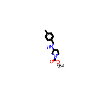 Cc1ccc(CNC2CCN(C(=O)OC(C)(C)C)C2)cc1